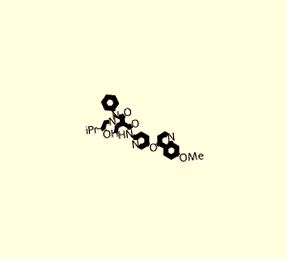 COc1ccc2c(Oc3ccc(NC(=O)c4c(C)n(C[C@H](O)C(C)C)n(-c5ccccc5)c4=O)nc3)ccnc2c1